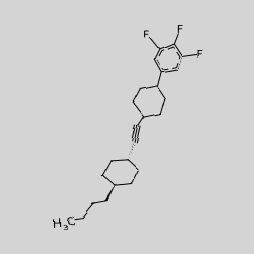 CCCC[C@H]1CC[C@H](C#CC2CCC(c3cc(F)c(F)c(F)c3)CC2)CC1